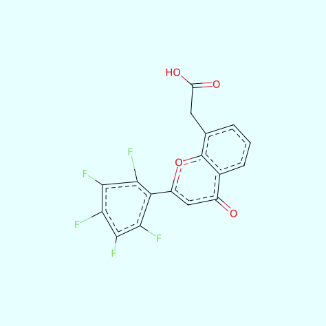 O=C(O)Cc1cccc2c(=O)cc(-c3c(F)c(F)c(F)c(F)c3F)oc12